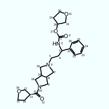 O=C(NC(CCN1CC2CN(C(=O)[C@H]3CCOC3)CC2C1)c1ccccc1)OC1CCOC1